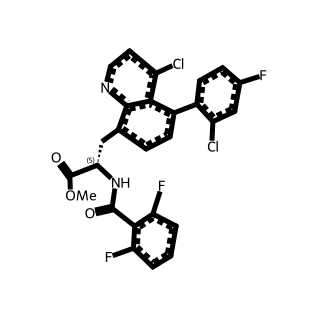 COC(=O)[C@H](Cc1ccc(-c2ccc(F)cc2Cl)c2c(Cl)ccnc12)NC(=O)c1c(F)cccc1F